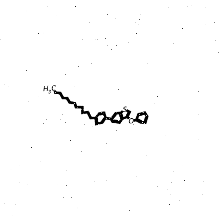 CCCCCCCCCCCCc1ccc(-c2ccc3c(Oc4ccccc4)csc3c2)cc1